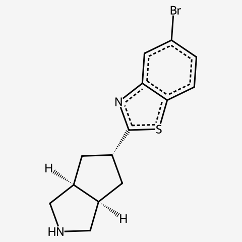 Brc1ccc2sc([C@@H]3C[C@H]4CNC[C@H]4C3)nc2c1